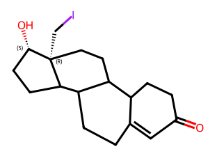 O=C1C=C2CCC3C(CC[C@@]4(CI)C3CC[C@@H]4O)C2CC1